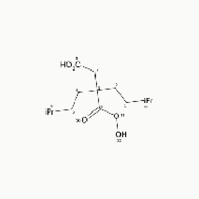 CC(C)CCC(CCC(C)C)(CC(=O)O)C(=O)OO